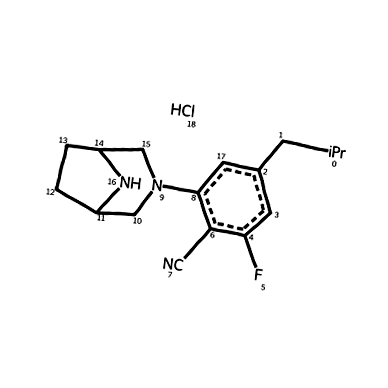 CC(C)Cc1cc(F)c(C#N)c(N2CC3CCC(C2)N3)c1.Cl